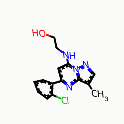 Cc1cnn2c(NCCO)cc(-c3ccccc3Cl)nc12